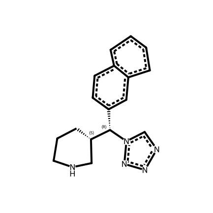 c1ccc2cc([C@@H]([C@H]3CCCNC3)n3cnnn3)ccc2c1